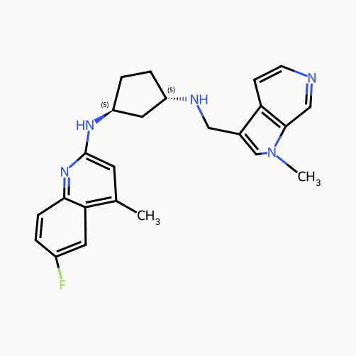 Cc1cc(N[C@H]2CC[C@H](NCc3cn(C)c4cnccc34)C2)nc2ccc(F)cc12